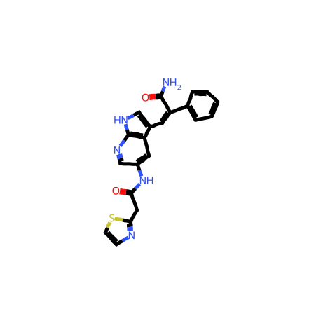 NC(=O)C(=Cc1c[nH]c2ncc(NC(=O)Cc3nccs3)cc12)c1ccccc1